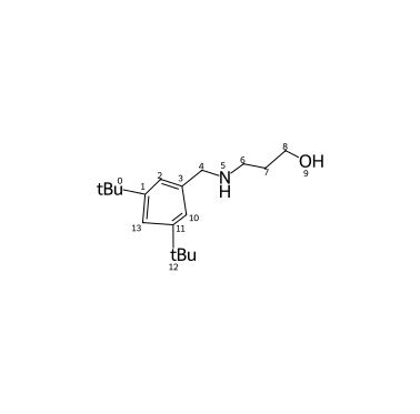 CC(C)(C)c1cc(CNCCCO)cc(C(C)(C)C)c1